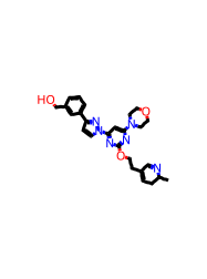 CC1CC=C(CCOc2nc(N3CCOCC3)cc(-n3ccc(-c4cccc(CO)c4)n3)n2)C=N1